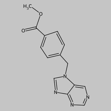 COC(=O)c1ccc(Cn2cnc3ncncc32)cc1